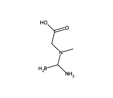 BC(N)N(C)CC(=O)O